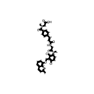 Cc1ccc2cccc(OCc3c(Cl)ccc(N(C)C(=O)CNC(=O)C=Cc4ccc(C(=O)N(C)CC(=O)O)cc4)c3Cl)c2n1